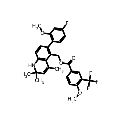 COc1cc(F)ccc1-c1ccc2c(c1COC(=O)c1ccc(OC)c(C(F)(F)F)c1)C(C)=CC(C)(C)N2